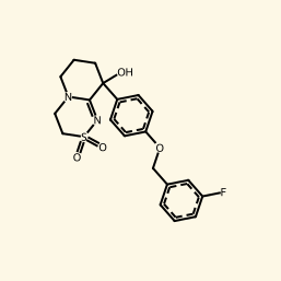 O=S1(=O)CCN2CCCC(O)(c3ccc(OCc4cccc(F)c4)cc3)C2=N1